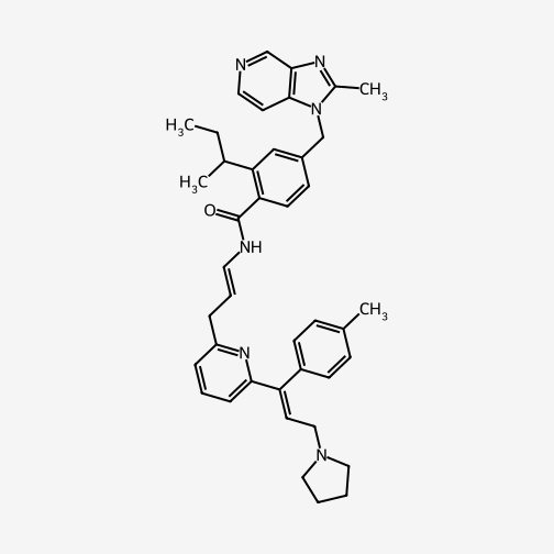 CCC(C)c1cc(Cn2c(C)nc3cnccc32)ccc1C(=O)NC=CCc1cccc(C(=CCN2CCCC2)c2ccc(C)cc2)n1